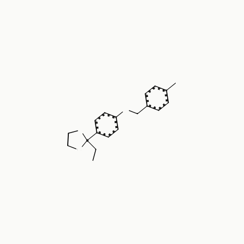 CCC1(c2ccc(OCc3ccc(C)cc3)cc2)OCCS1